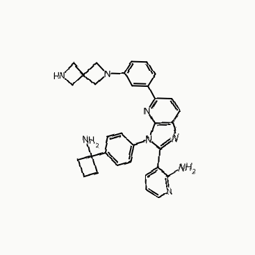 Nc1ncccc1-c1nc2ccc(-c3cccc(N4CC5(CNC5)C4)c3)nc2n1-c1ccc(C2(N)CCC2)cc1